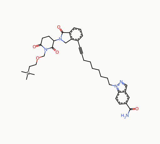 C[Si](C)(C)CCOCN1C(=O)CCC(N2Cc3c(C#CCCCCCCCn4ncc5cc(C(N)=O)ccc54)cccc3C2=O)C1=O